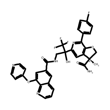 C[C@]1(C(N)=O)COc2c1cc(C(O)(CNC(=O)c1cc(Oc3ccncc3)c3ncccc3c1)C(F)(F)F)nc2-c1ccc(F)cc1